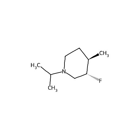 CC(C)N1CC[C@@H](C)[C@H](F)C1